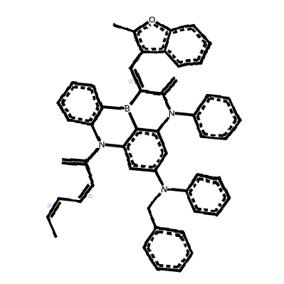 C=C1/C(=C\c2c(C)oc3ccccc23)B2c3ccccc3N(C(=C)/C=C\C=C/C)c3cc(N(Cc4ccccc4)c4ccccc4)cc(c32)N1c1ccccc1